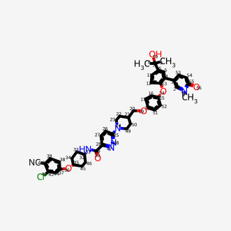 Cn1cc(-c2cc(C(C)(C)O)ccc2Oc2ccc(OCC3CCN(c4ccc(C(=O)NC5CCC(Oc6ccc(C#N)c(Cl)c6)CC5)nn4)CC3)cc2)ccc1=O